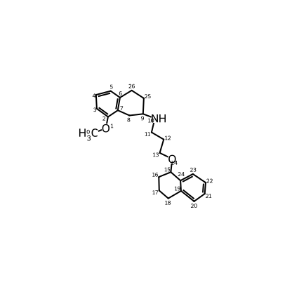 COc1cccc2c1CC(NCCCOC1CCCc3ccccc31)CC2